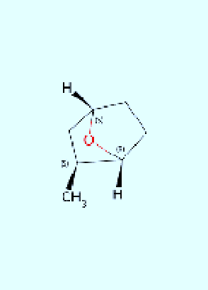 C[C@H]1C[C@@H]2CC[C@H]1O2